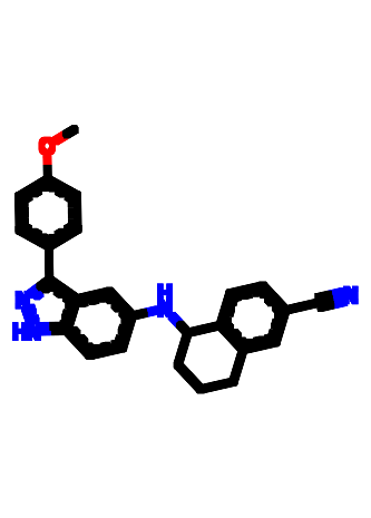 COc1ccc(-c2n[nH]c3ccc(NC4CCCc5cc(C#N)ccc54)cc23)cc1